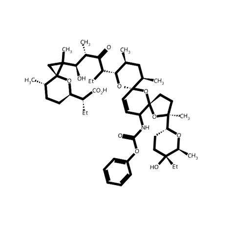 CCC(C(=O)[C@@H](C)[C@@H](O)C1(C)C[C@]12O[C@@H]([C@@H](CC)C(=O)O)CC[C@@H]2C)[C@H]1O[C@]2(C=CC(NC(=O)Oc3ccccc3)[C@]3(CC[C@@](C)([C@H]4CC[C@](O)(CC)[C@H](C)O4)O3)O2)[C@H](C)C[C@@H]1C